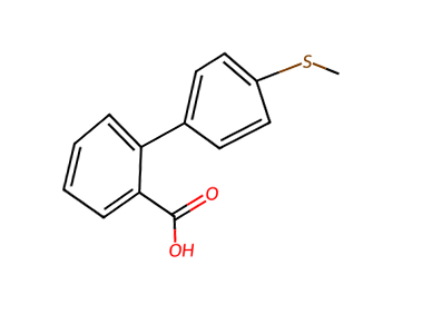 CSc1ccc(-c2ccccc2C(=O)O)cc1